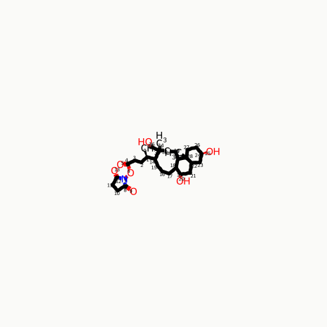 C[C@H](CCC(=O)ON1C(=O)CCC1=O)C1CCCC2C(O)CC3C[C@H](O)CCC3(C)C2CCC1(C)CO